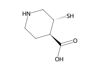 O=C(O)[C@H]1CCNC[C@@H]1S